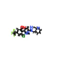 Cc1ncccc1CNc1ccc(-c2c(O)cc(C(F)(F)F)cc2Cl)nn1